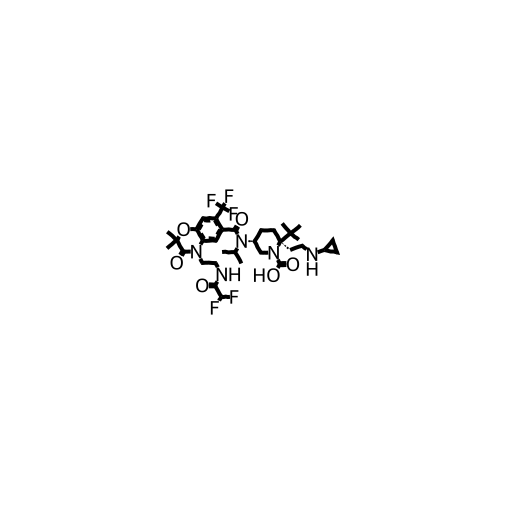 CC(C)N(C(=O)c1cc2c(cc1C(F)(F)F)OC(C)(C)C(=O)N2CCNC(=O)C(F)F)[C@@H]1CC[C@@](CCNC2CC2)(C(C)(C)C)N(C(=O)O)C1